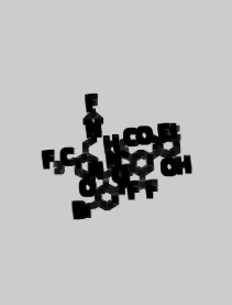 CCOC(=O)C[C@H](NC(=O)C(c1cc(Br)ccc1F)n1cc(CCN2CC(F)C2)c(C(F)(F)F)cc1=O)c1cc(-c2c(C)cccc2O)cc(C(F)F)c1F